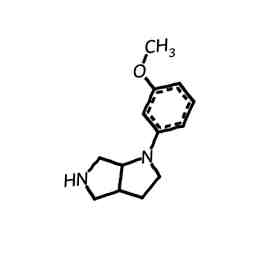 COc1cccc(N2CCC3CNCC32)c1